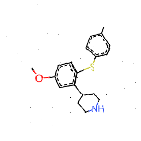 COc1ccc(Sc2ccc(C)cc2)c(C2CCNCC2)c1